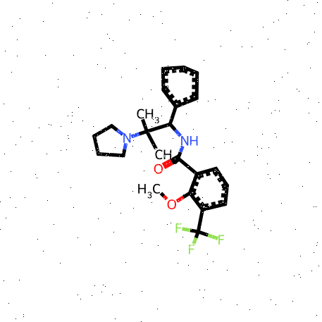 COc1c(C(=O)NC(c2ccccc2)C(C)(C)N2CCCC2)cccc1C(F)(F)F